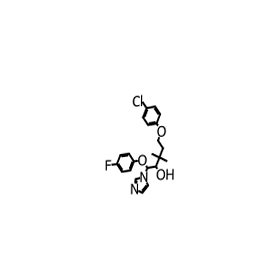 CC(C)(CCOc1ccc(Cl)cc1)C(O)C(Oc1ccc(F)cc1)n1ccnc1